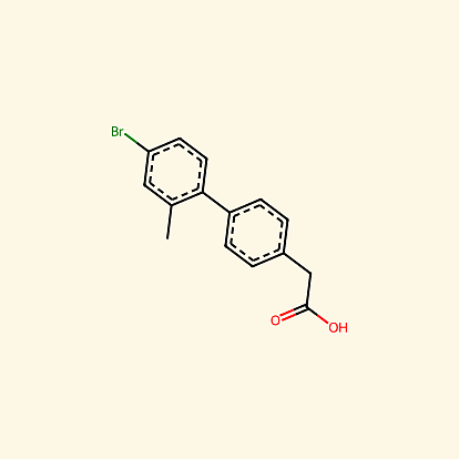 Cc1cc(Br)ccc1-c1ccc(CC(=O)O)cc1